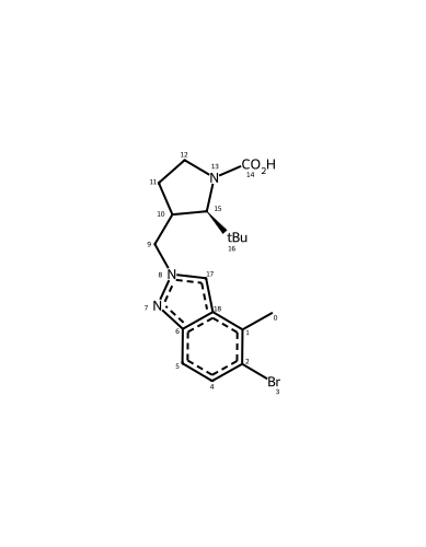 Cc1c(Br)ccc2nn(CC3CCN(C(=O)O)[C@H]3C(C)(C)C)cc12